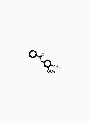 COc1cc(SC(=O)c2ccccc2)ccc1C